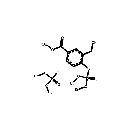 CCOP(=O)(Cl)OCC.CCOP(=O)(OCC)Oc1ccc(C(=O)OC(C)(C)C)cc1CO